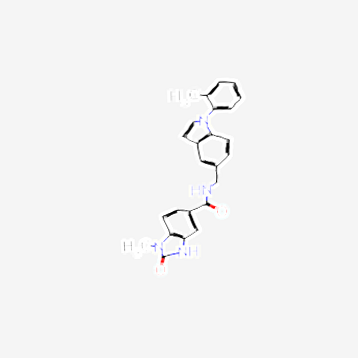 Cc1ccccc1-n1ccc2cc(CNC(=O)c3ccc4c(c3)[nH]c(=O)n4C)ccc21